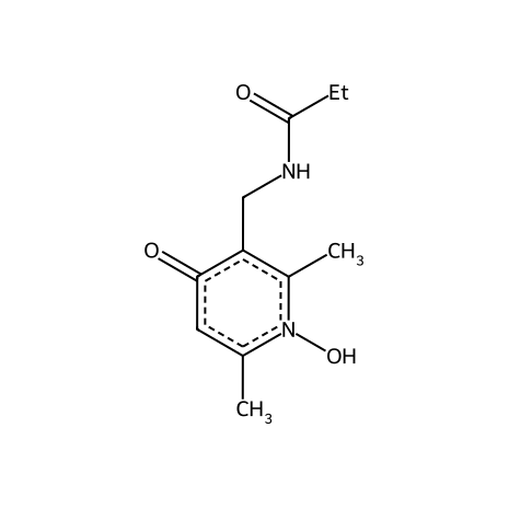 CCC(=O)NCc1c(C)n(O)c(C)cc1=O